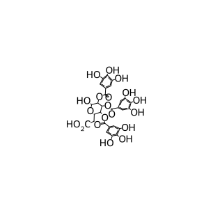 O=C(O)CC1OC(O)C(OC(=O)c2cc(O)c(O)c(O)c2)C(OC(=O)c2cc(O)c(O)c(O)c2)C1OC(=O)c1cc(O)c(O)c(O)c1